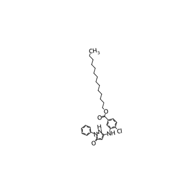 CCCCCCCCCCCCCCOC(=O)c1ccc(Cl)c(Nc2cc(=O)n(-c3ccccc3)[nH]2)c1